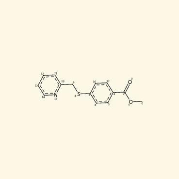 COC(=O)c1ccc(SCc2ccccn2)cc1